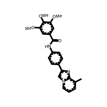 COc1cc(C(=O)Nc2ccc(-c3cn4cccc(C)c4n3)cc2)cc(OC)c1OC